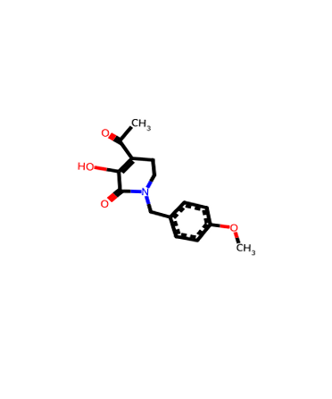 COc1ccc(CN2CCC(C(C)=O)=C(O)C2=O)cc1